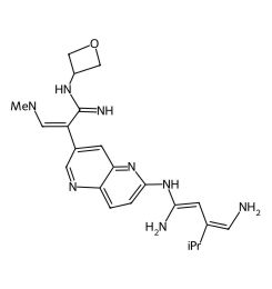 CN/C=C(\C(=N)NC1COC1)c1cnc2ccc(N/C(N)=C/C(=C\N)C(C)C)nc2c1